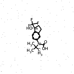 CC(C)(C)N(C(=O)O)c1ccc2c(c1)CC[C@]2(O)C(F)(F)F